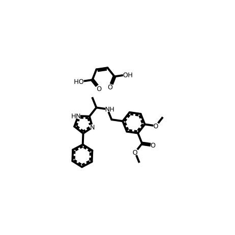 COC(=O)c1cc(CNC(C)c2nc(-c3ccccc3)c[nH]2)ccc1OC.O=C(O)/C=C\C(=O)O